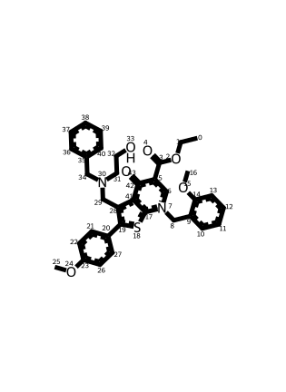 CCOC(=O)c1cn(Cc2ccccc2OC)c2sc(-c3ccc(OC)cc3)c(CN(CCO)Cc3ccccc3)c2c1=O